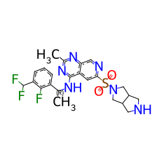 Cc1nc(N[C@H](C)c2cccc(C(F)F)c2F)c2cc(S(=O)(=O)N3CC4CNCC4C3)ncc2n1